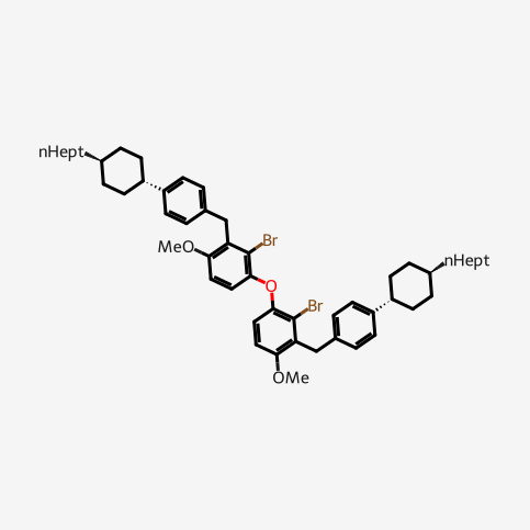 CCCCCCC[C@H]1CC[C@H](c2ccc(Cc3c(OC)ccc(Oc4ccc(OC)c(Cc5ccc([C@H]6CC[C@H](CCCCCCC)CC6)cc5)c4Br)c3Br)cc2)CC1